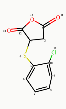 O=C1CC(Sc2ccccc2Cl)C(=O)O1